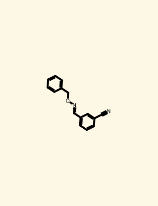 N#Cc1cccc(C=NOCc2ccccc2)c1